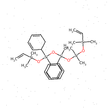 C=C[Si](C)(C)O[Si](C)(C)O[Si](C)(O[Si](O[Si](C)(C)C=C)(C1C=CC=CC1)C1C=CC=CC1)c1ccccc1